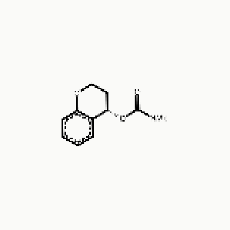 CNC(=O)O[C@H]1CCOc2ccccc21